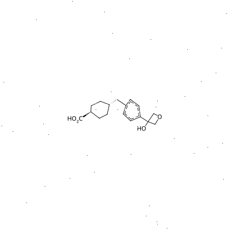 O=C(O)[C@H]1CC[C@H](Cc2ccc(C3(O)COC3)cc2)CC1